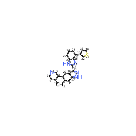 Cc1ccncc1-c1ccc2[nH]nc(-c3nc4c(-c5ccsc5)cccc4[nH]3)c2c1